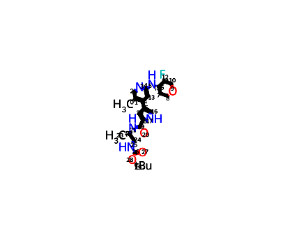 Cc1cnc(N[C@H]2CCOC[C@H]2F)cc1-c1c[nH]c(C(=O)N[C@@H](C)CNC(=O)OC(C)(C)C)c1